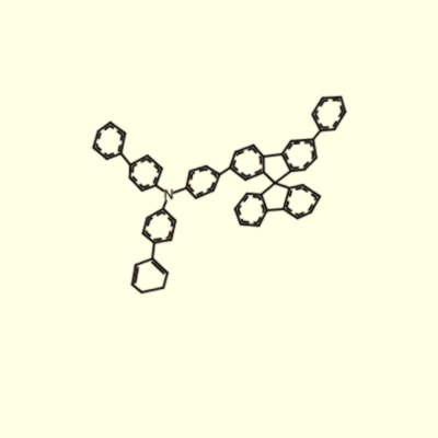 C1=CC(c2ccc(N(c3ccc(-c4ccccc4)cc3)c3ccc(-c4ccc5c(c4)C4(c6ccccc6-c6ccccc64)c4ccc(-c6ccccc6)cc4-5)cc3)cc2)=CCC1